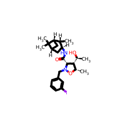 C[C@@H]1[C@@H](NC(=O)[C@@H]2[C@H]([C@H](C)O)[C@H](C)ON2Cc2cccc(I)c2)C[C@H]2C[C@@H]1C2(C)C